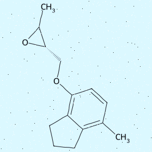 Cc1ccc(OC[C@@H]2OC2C)c2c1CCC2